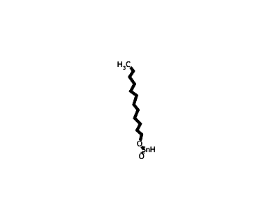 CCCCCCCCCCCC[O][SnH]=[O]